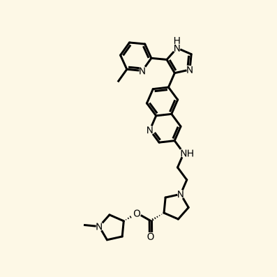 Cc1cccc(-c2[nH]cnc2-c2ccc3ncc(NCCN4CC[C@H](C(=O)O[C@@H]5CCN(C)C5)C4)cc3c2)n1